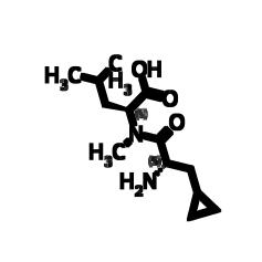 CC(C)C[C@@H](C(=O)O)N(C)C(=O)[C@@H](N)CC1CC1